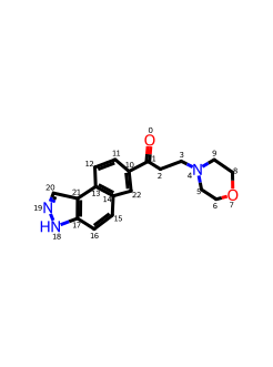 O=C(CCN1CCOCC1)c1ccc2c(ccc3[nH]ncc32)c1